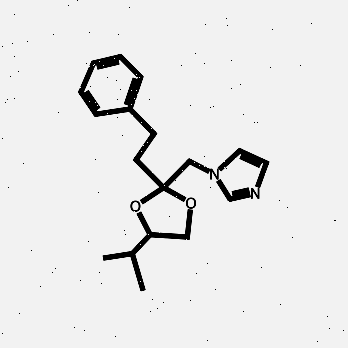 CC(C)C1COC(CCc2ccccc2)(Cn2ccnc2)O1